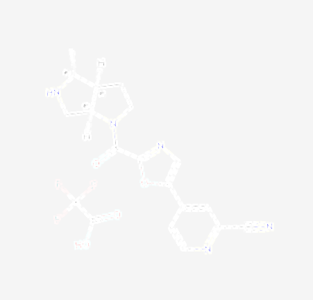 C[C@H]1NC[C@H]2[C@@H]1CCN2C(=O)c1ncc(-c2ccnc(C#N)c2)o1.O=C(O)C(F)(F)F